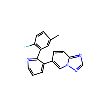 Cc1ccc(F)c(-c2ncccc2-c2ccc3ncnn3c2)c1